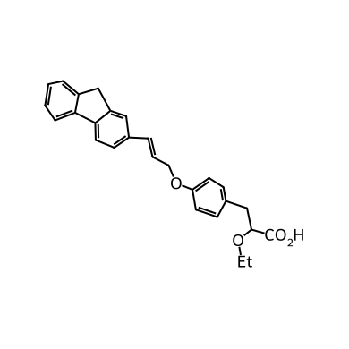 CCOC(Cc1ccc(OCC=Cc2ccc3c(c2)Cc2ccccc2-3)cc1)C(=O)O